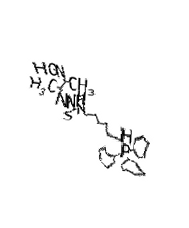 CC(=N/O)/C(C)=N\NC(=S)NCCCCCC[PH](c1ccccc1)(c1ccccc1)c1ccccc1